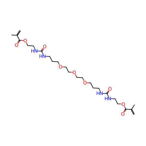 C=C(C)C(=O)OCCNC(=O)NCCCOCCOCCOCCCNC(=O)NCCOC(=O)C(=C)C